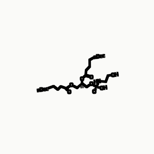 CCCCCCCCCCCCCC(=O)OC[C@H](COP(=O)(O)NCCO)OC(=O)CCCCCCCCCCCCC